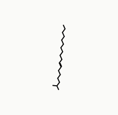 CCCCCCCCCCC=CCCCCC(C)C